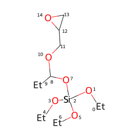 CCO[Si](OCC)(OCC)OC(CC)OCC1CO1